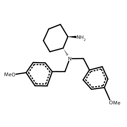 COc1ccc(CN(Cc2ccc(OC)cc2)[C@@H]2CCCC[C@H]2N)cc1